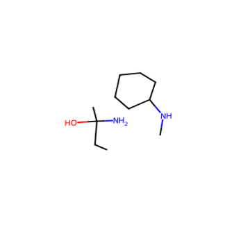 CCC(C)(N)O.CNC1CCCCC1